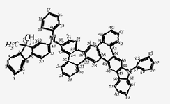 CC1(C)c2ccccc2-c2ccc(N(c3ccccc3)c3ccc4c(c3)c3ccccc3c3cc5c(cc43)c3ccccc3c3cc4c(cc53)c3ccccc3n4-c3ccccc3)cc21